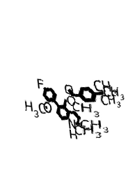 COc1cc(F)ccc1-c1ccc2c(c1COC(=O)c1ccc(C(C)(C)C)cc1)C(C)=CC(C)(C)N2